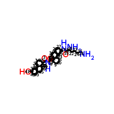 C[C@]1(C(=O)NC(=O)[C@@]2(C)CCC[C@]3(C)c4cc(NC(=O)C(N)CCCCN)ccc4CC[C@@H]23)CCC[C@]2(C)c3cc(O)ccc3CC[C@@H]12